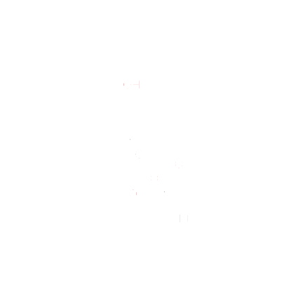 CCC12OCC(CO)(CO1)CO2